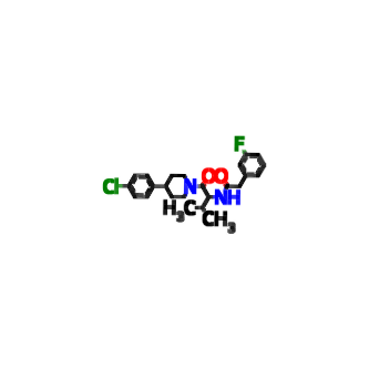 CC(C)C(NC(=O)Cc1cccc(F)c1)C(=O)N1CCC(c2ccc(Cl)cc2)CC1